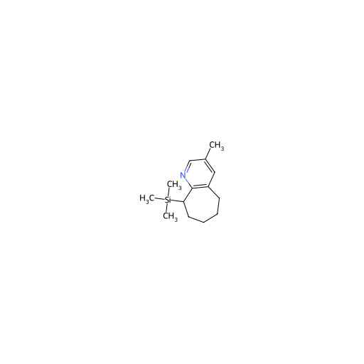 Cc1cnc2c(c1)CCCCC2[Si](C)(C)C